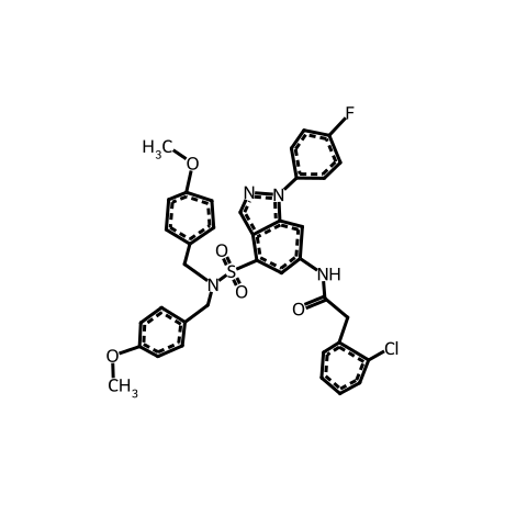 COc1ccc(CN(Cc2ccc(OC)cc2)S(=O)(=O)c2cc(NC(=O)Cc3ccccc3Cl)cc3c2cnn3-c2ccc(F)cc2)cc1